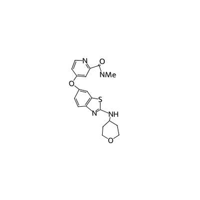 CNC(=O)c1cc(Oc2ccc3nc(NC4CCOCC4)sc3c2)ccn1